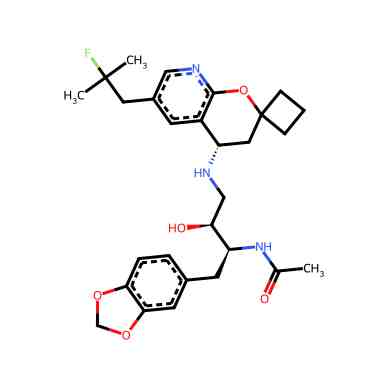 CC(=O)N[C@@H](Cc1ccc2c(c1)OCO2)[C@@H](O)CN[C@H]1CC2(CCC2)Oc2ncc(CC(C)(C)F)cc21